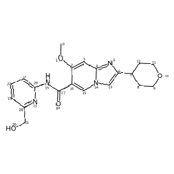 COc1cc2nc(C3CCOCC3)cn2cc1C(=O)Nc1cccc(CO)n1